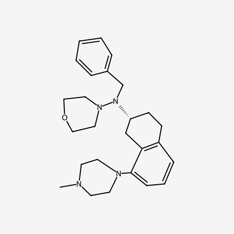 CN1CCN(c2cccc3c2C[C@H](N(Cc2ccccc2)N2CCOCC2)CC3)CC1